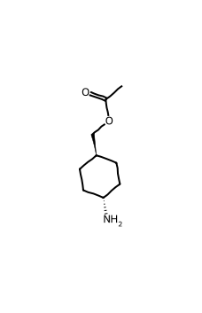 CC(=O)OC[C@H]1CC[C@H](N)CC1